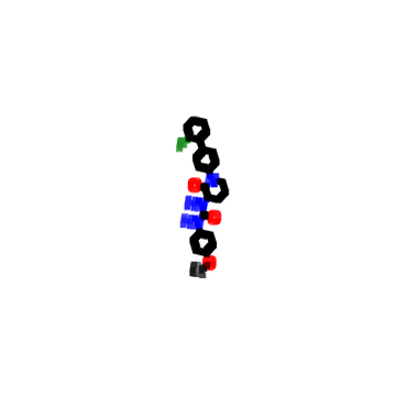 CCOc1ccc(NC(=O)N[C@@H]2CCCN(c3ccc(-c4ccccc4F)cc3)C2=O)cc1